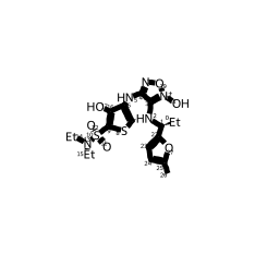 CC[C@@H](Nc1c(Nc2csc(S(=O)(=O)N(CC)CC)c2O)no[n+]1O)c1ccc(C)o1